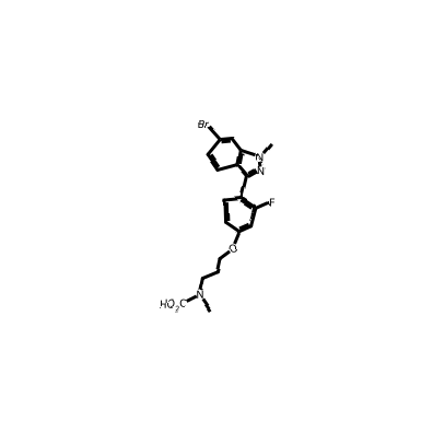 CN(CCCOc1ccc(-c2nn(C)c3cc(Br)ccc23)c(F)c1)C(=O)O